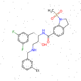 CCc1cccc(CNC[C@@H](O)[C@H](Cc2cc(F)cc(F)c2)NC(=O)c2ccc3c(c2)N(S(C)(=O)=O)CC3)c1